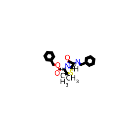 CC1(C)S[C@@H]2[C@H](N=Cc3ccccc3)C(=O)N2[C@H]1C(=O)OCc1ccccc1